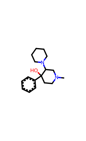 CN1CCC(O)(c2ccccc2)C(N2CCCCC2)C1